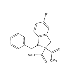 COC(=O)C1(C(=O)OC)Cc2cc(Br)ccc2N1Cc1ccccc1